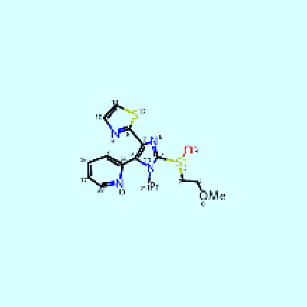 COCC[S+]([O-])c1nc(-c2nccs2)c(-c2ccccn2)n1C(C)C